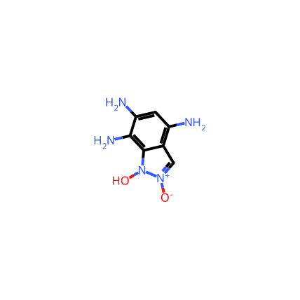 Nc1cc(N)c2c[n+]([O-])n(O)c2c1N